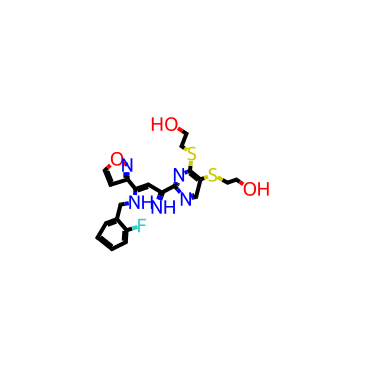 N=C(/C=C(\NCc1ccccc1F)c1ccon1)c1ncc(SCCO)c(SCCO)n1